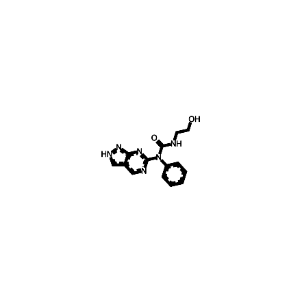 O=C(NCCO)N(c1ccccc1)c1ncc2c[nH]nc2n1